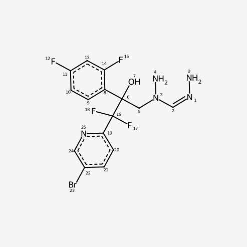 N/N=C\N(N)CC(O)(c1ccc(F)cc1F)C(F)(F)c1ccc(Br)cn1